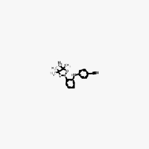 CC1(C)OB(c2ccccc2Nc2ccc(C#N)cc2)OC1(C)C